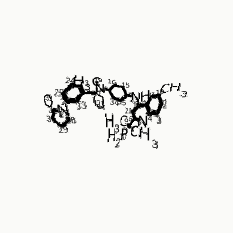 Cc1ccc2nc(C(C)(C)P)cc(NC3CCC(N(C)C(=O)c4cccc(N5CCCC5=O)c4)CC3)c2c1